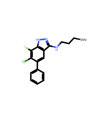 CSCCCNc1n[nH]c2c(F)c(Cl)c(-c3ccccc3)cc12